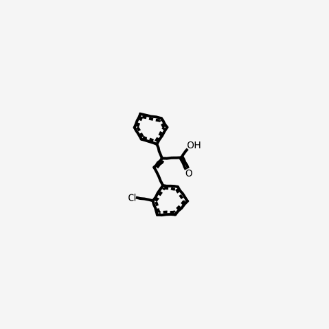 O=C(O)C(=Cc1ccccc1Cl)c1ccccc1